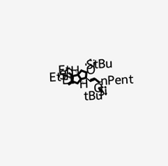 C=C1C[C@@H]2[C@H](/C=C/[C@H](CCCCC)O[Si](C)(C)C(C)(C)C)[C@H](O[Si](C)(C)C(C)(C)C)C[C@@H]2C1O[Si](CC)(CC)CC